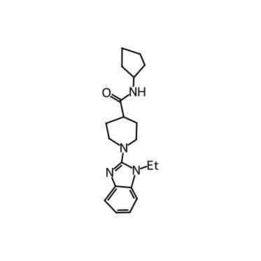 CCn1c(N2CCC(C(=O)NC3CCCC3)CC2)nc2ccccc21